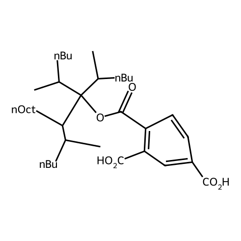 CCCCCCCCC(C(C)CCCC)C(OC(=O)c1ccc(C(=O)O)cc1C(=O)O)(C(C)CCCC)C(C)CCCC